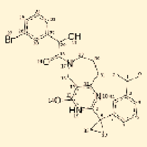 CC(C)c1cccc(C2(c3nc4c(c(=O)[nH]3)CN(C(=O)C(O)c3cccc(Br)c3)CCC4)CC2)c1